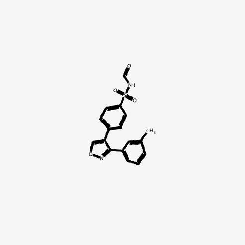 Cc1cccc(-c2nocc2-c2ccc(S(=O)(=O)NC=O)cc2)c1